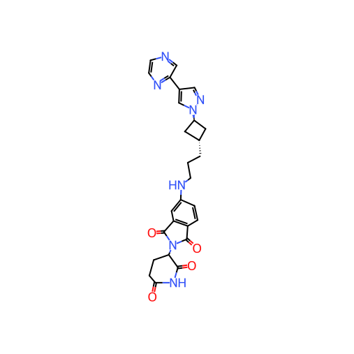 O=C1CCC(N2C(=O)c3ccc(NCCC[C@H]4C[C@H](n5cc(-c6cnccn6)cn5)C4)cc3C2=O)C(=O)N1